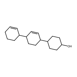 OC1CCC(C2C=CC(C3C=CCCC3)CC2)CC1